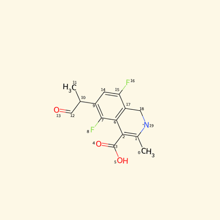 CC1=C(C(=O)O)c2c(F)c(C(C)C=O)cc(F)c2C[N]1